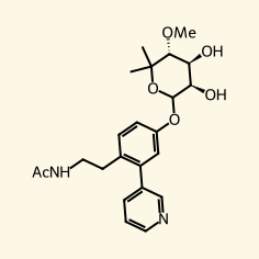 CO[C@@H]1[C@@H](O)[C@@H](O)C(Oc2ccc(CCNC(C)=O)c(-c3cccnc3)c2)OC1(C)C